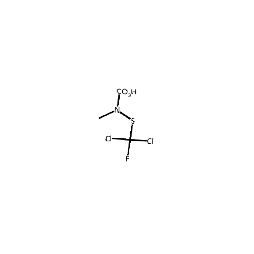 CN(SC(F)(Cl)Cl)C(=O)O